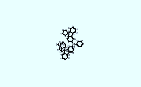 c1ccc(N(c2ccc3c(c2)-c2ccccc2C32CCCC2)c2ccc3c(c2)C2(c4ccccc4-3)C3CCC4CC2C[C@@H](C4)C3)cc1